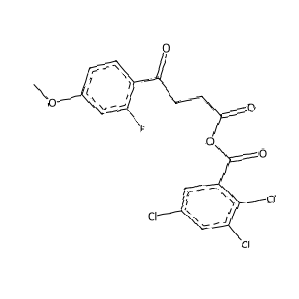 COc1ccc(C(=O)CCC(=O)OC(=O)c2cc(Cl)cc(Cl)c2Cl)c(F)c1